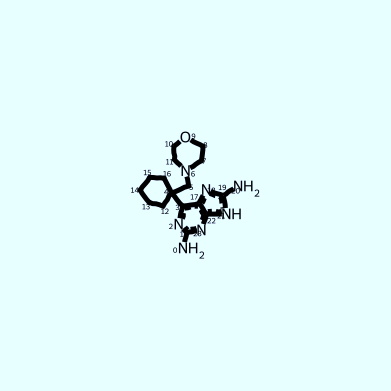 Nc1nc(C2(CN3CCOCC3)CCCCC2)c2nc(N)[nH]c2n1